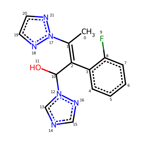 CC(=C(c1ccccc1F)C(O)n1cncn1)n1nccn1